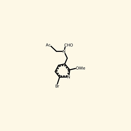 COc1nc(Br)ccc1CN(C=O)CC(C)=O